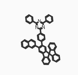 c1ccc(-c2nc(-c3ccccc3)nc(-c3ccc(-c4cc5c(cc4-c4ccc6ccccc6c4)-c4ccccc4C54c5ccccc5-c5ccccc54)cc3)n2)cc1